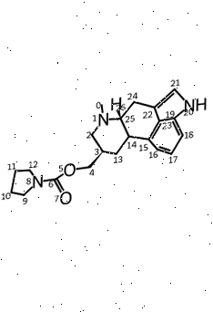 CN1C[C@H](COC(=O)N2CCCC2)CC2c3cccc4[nH]cc(c34)C[C@H]21